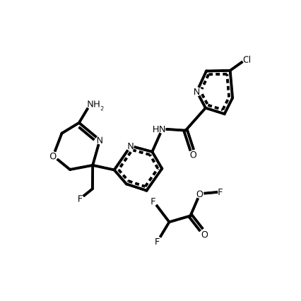 NC1=NC(CF)(c2cccc(NC(=O)c3ccc(Cl)cn3)n2)COC1.O=C(OF)C(F)F